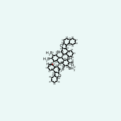 Bc1c(B)c(B)c2c(-c3cc4oc5ccc6ccccc6c5c4c4ccccc34)c3c(B)c(B)c(B)c(B)c3c(-c3cc4oc5ccccc5c4c4ccccc34)c2c1B